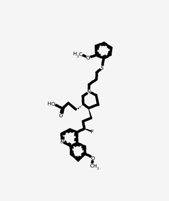 COc1ccc2nccc([C@H](F)CC[C@@H]3CCN(CCCSc4ccccc4OC)C[C@H]3CCC(=O)O)c2c1